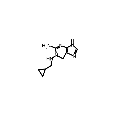 NC1=Nc2[nH]cnc2CN1NCC1CC1